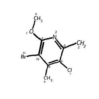 COc1nc(C)c(Cl)c(C)c1Br